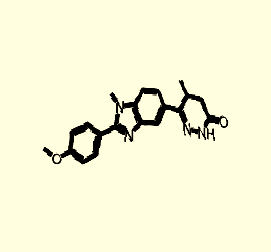 COc1ccc(-c2nc3cc(C4=NNC(=O)CC4C)ccc3n2C)cc1